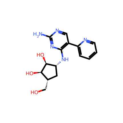 Nc1ncc(-c2ccccn2)c(N[C@@H]2C[C@H](CO)[C@@H](O)[C@H]2O)n1